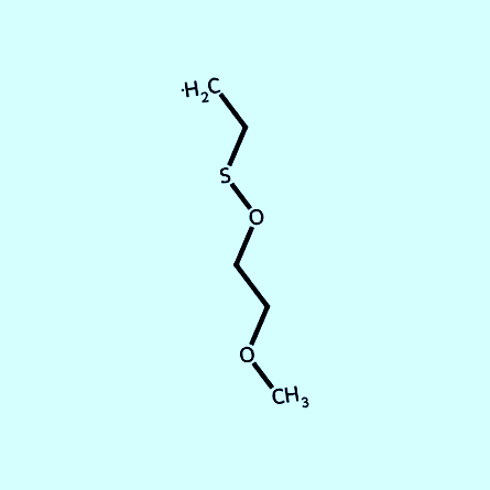 [CH2]CSOCCOC